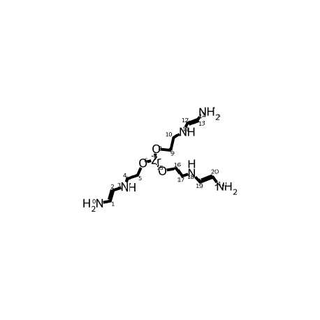 NC=CNCC[O][Zr]([O]CCNC=CN)[O]CCNC=CN